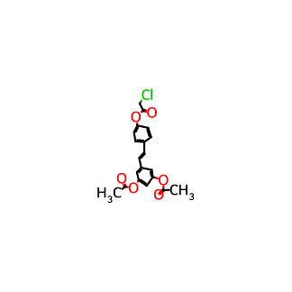 CC(=O)Oc1cc(C=Cc2ccc(OC(=O)CCl)cc2)cc(OC(C)=O)c1